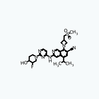 CC(C)c1cc(C#N)c(N2CC(CS(C)(=O)=O)C2)c2cnc(Nc3ccnc(N4CCC(O)C(F)C4)n3)cc12